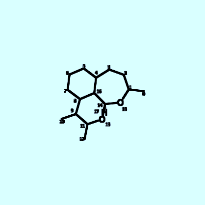 CC1CCC2CCCC3C(C)C(C)O[C@H](O1)C23